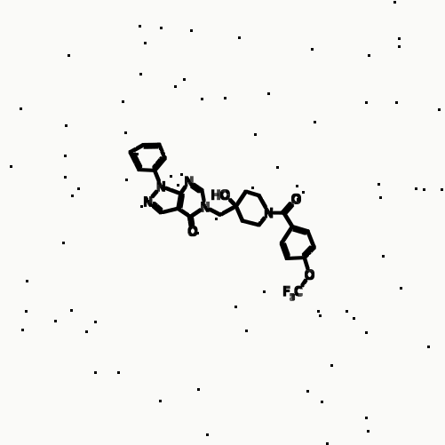 O=C(c1ccc(OC(F)(F)F)cc1)N1CCC(O)(Cn2cnc3c(cnn3-c3ccccc3)c2=O)CC1